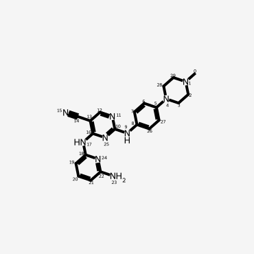 CN1CCN(c2ccc(Nc3ncc(C#N)c(Nc4cccc(N)n4)n3)cc2)CC1